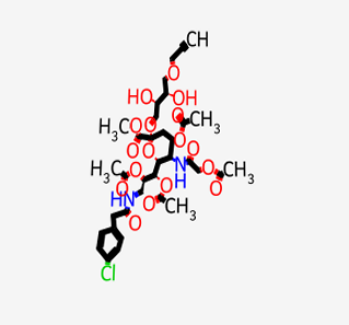 C#CCOC[C@H](O)[C@@H](O)CO[C@]1(C(=O)OC)C[C@H](OC(C)=O)[C@@H](NC(=O)COC(C)=O)[C@H]([C@H](OC(C)=O)[C@@H](CNC(=O)Cc2ccc(Cl)cc2)OC(C)=O)O1